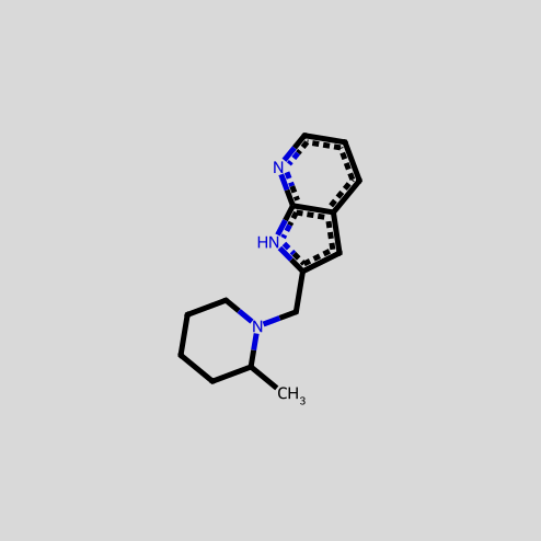 CC1CCCCN1Cc1cc2cccnc2[nH]1